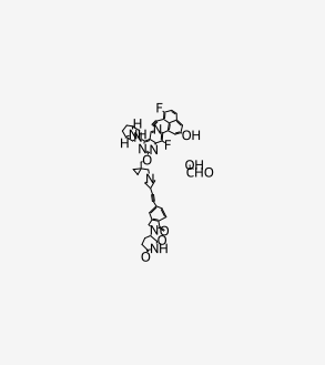 C#Cc1c(F)ccc2cc(O)cc(-c3ncc4c(N5C[C@H]6CC[C@@H](C5)N6)nc(OCC5(CN6CC(C#Cc7ccc8c(c7)CN(C7CCC(=O)NC7=O)C8=O)C6)CC5)nc4c3F)c12.O=CO